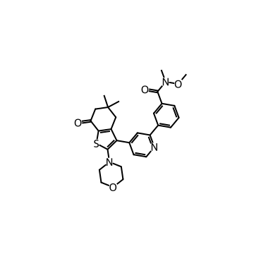 CON(C)C(=O)c1cccc(-c2cc(-c3c(N4CCOCC4)sc4c3CC(C)(C)CC4=O)ccn2)c1